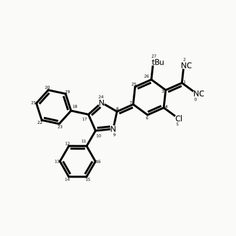 [C-]#[N+]C([N+]#[C-])=c1c(Cl)cc(=C2N=C(c3ccccc3)C(c3ccccc3)=N2)cc1C(C)(C)C